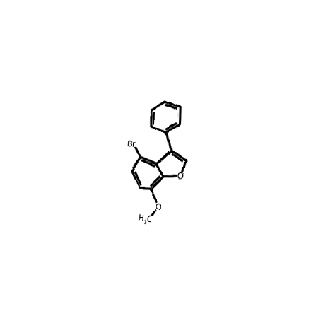 COc1ccc(Br)c2c(-c3ccccc3)coc12